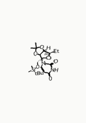 CC[C@H]1O[C@@](CO[Si](C)(C)C(C)(C)C)(n2ccc(=O)[nH]c2=O)C2OC(C)(C)O[C@H]21